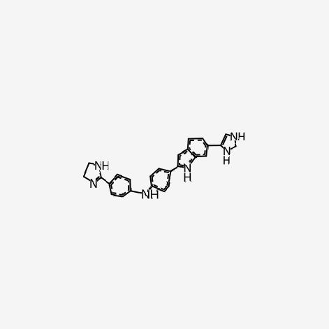 C1=C(c2ccc3cc(-c4ccc(Nc5ccc(C6=NCCN6)cc5)cc4)[nH]c3c2)NCN1